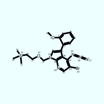 COc1ccccc1-c1cn(COCC[Si](C)(C)C)c2ncc(Br)c(N=[N+]=[N-])c12